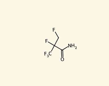 NC(=O)C(F)(CF)C(F)(F)F